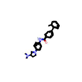 Cc1ccccc1-c1ccc(C(=O)Nc2ccc(N3CCC(N(C)C)C3)cc2)cc1